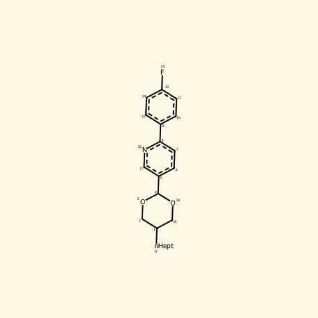 CCCCCCCC1COC(c2ccc(-c3ccc(F)cc3)nc2)OC1